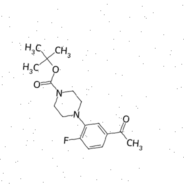 CC(=O)c1ccc(F)c(N2CCN(C(=O)OC(C)(C)C)CC2)c1